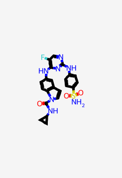 NS(=O)(=O)c1ccc(Nc2ncc(F)c(Nc3ccc4c(ccn4C(=O)NC4CC4)c3)n2)cc1